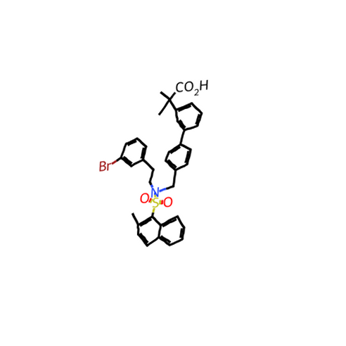 Cc1ccc2ccccc2c1S(=O)(=O)N(CCc1cccc(Br)c1)Cc1ccc(-c2cccc(C(C)(C)C(=O)O)c2)cc1